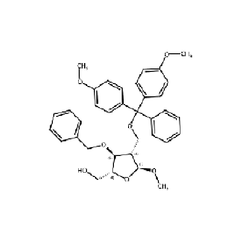 COc1ccc(C(OC[C@@H]2[C@@H](OC)O[C@H](CO)[C@H]2OCc2ccccc2)(c2ccccc2)c2ccc(OC)cc2)cc1